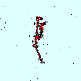 CC(C)[C@H](NC(=O)[C@@H](CCCCNC(=O)COC1CCCCC/C(NCCOCCOCCOCCOCCC(=O)NCCS(=O)(=O)O)=C\1N=N)NC(=O)CCOCCOCCOCCOCCNC(=O)CCC(=O)N1Cc2ccccc2C#Cc2ccccc21)C(=O)N[C@@H](C)C(=O)N[C@@H](CO)C(=O)Nc1ccc2c(c1)[C@@]1(C)CCC[C@](C)(C(=O)NC(=O)[C@@]3(C)CCC[C@]4(C)c5cc(O)ccc5CC[C@@H]34)[C@@H]1CC2